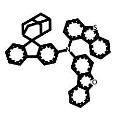 c1ccc2c(c1)-c1ccc(N(c3ccc4oc5ccccc5c4c3)c3cccc4sc5ccccc5c34)cc1C21C2CC3CC(C2)CC1C3